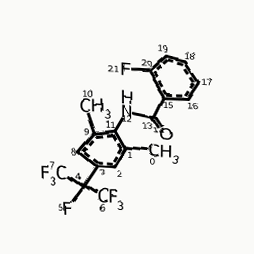 Cc1cc(C(F)(C(F)(F)F)C(F)(F)F)cc(C)c1NC(=O)c1ccccc1F